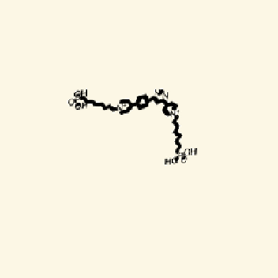 O=P(O)(O)CCCCCCCC[n+]1ccc(-c2ccc(-c3cc(-c4cc[n+](CCCCCCCCP(=O)(O)O)cc4)ncn3)cc2)cc1